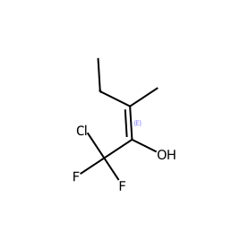 CC/C(C)=C(/O)C(F)(F)Cl